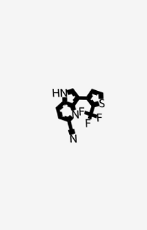 N#Cc1ccc2[nH]cc(-c3ccsc3C(F)(F)F)c2n1